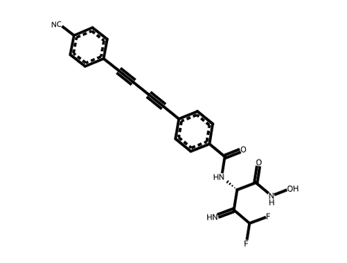 N#Cc1ccc(C#CC#Cc2ccc(C(=O)N[C@@H](C(=N)C(F)F)C(=O)NO)cc2)cc1